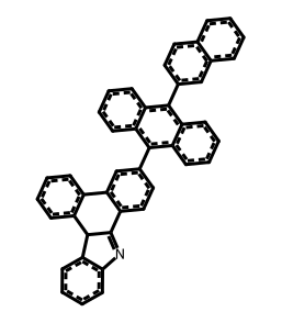 c1ccc2c(c1)N=C1c3ccc(-c4c5ccccc5c(-c5ccc6ccccc6c5)c5ccccc45)cc3-c3ccccc3C12